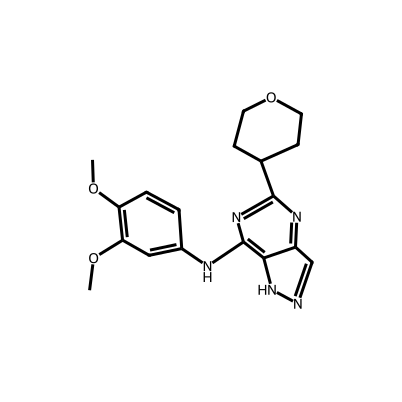 COc1ccc(Nc2nc(C3CCOCC3)nc3cn[nH]c23)cc1OC